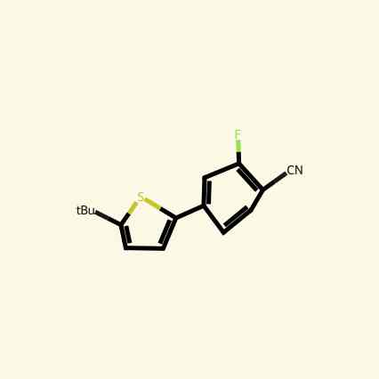 CC(C)(C)c1ccc(-c2ccc(C#N)c(F)c2)s1